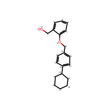 OCc1ccccc1OCc1ccc(C2CCCCC2)cc1